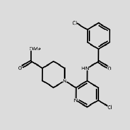 COC(=O)C1CCN(c2ncc(Cl)cc2NC(=O)c2cccc(Cl)c2)CC1